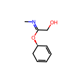 C/N=C(/CO)O[C@H]1C=CC=CC1